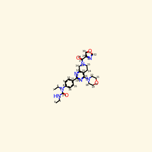 CCNC(=O)N(CC)c1ccc(-c2nc3c(c(N4CCOCC4)n2)CCN(C(=O)c2cocn2)C3)cc1